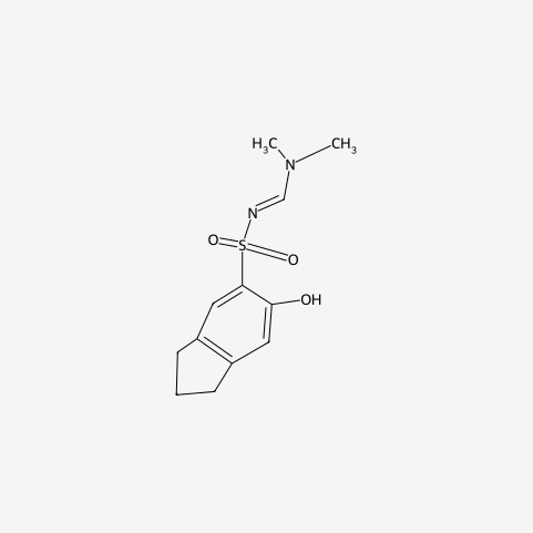 CN(C)C=NS(=O)(=O)c1cc2c(cc1O)CCC2